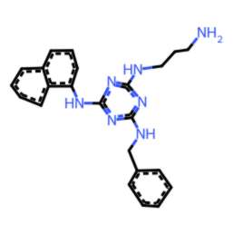 NCCCNc1nc(NCc2ccccc2)nc(Nc2cccc3ccccc23)n1